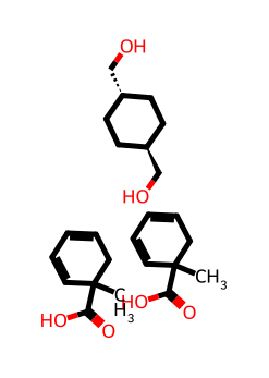 CC1(C(=O)O)C=CC=CC1.CC1(C(=O)O)C=CC=CC1.OC[C@H]1CC[C@H](CO)CC1